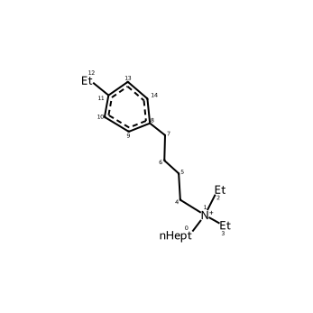 CCCCCCC[N+](CC)(CC)CCCCc1ccc(CC)cc1